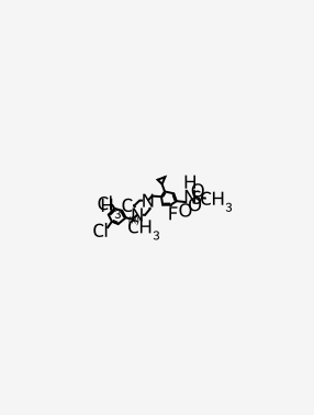 CC1CN(Cc2cc(F)c(C(=O)NS(C)(=O)=O)cc2C2CC2)CCN1[C@H](C)c1cc(Cl)cc(Cl)c1